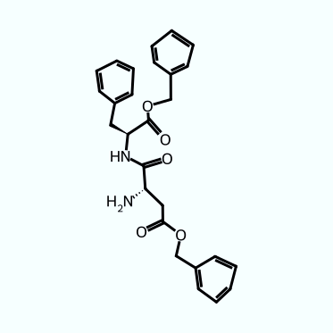 N[C@@H](CC(=O)OCc1ccccc1)C(=O)N[C@@H](Cc1ccccc1)C(=O)OCc1ccccc1